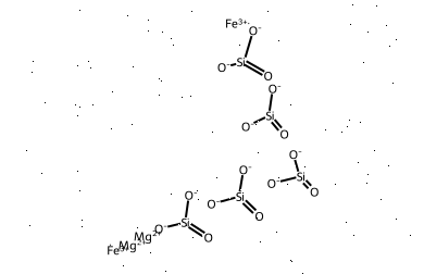 O=[Si]([O-])[O-].O=[Si]([O-])[O-].O=[Si]([O-])[O-].O=[Si]([O-])[O-].O=[Si]([O-])[O-].[Fe+3].[Fe+3].[Mg+2].[Mg+2]